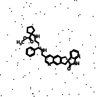 COC(=O)C1(NCC[C@H](NCc2cnc3cc4c(cc3c2)C[C@@]2(C4)C(=O)Nc3ncccc32)c2ccccc2)CCCC1